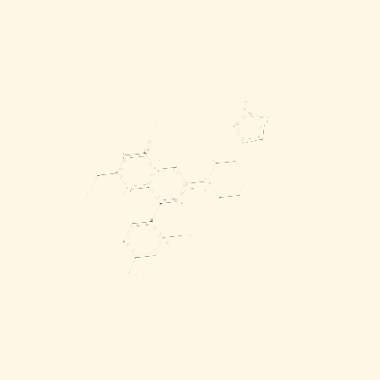 Cc1c(C(F)F)nc2c(-c3ccc(Cl)cc3F)nc(N3CCO[C@@H](c4cnn(C)c4)C3)cn2c1=O